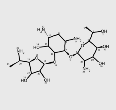 C[C@@H](O)C1O[C@H](O[C@@H]2C(N)C[C@@H](N)C(O)C2O[C@@H]2O[C@H]([C@@H](C)N)C(O)C2O)C(N)C(O)[C@@H]1O